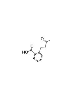 CC(=O)CCc1ccccc1C(=O)O